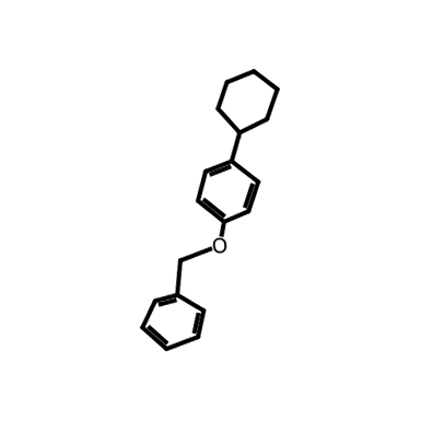 c1ccc(COc2ccc([C]3CCCCC3)cc2)cc1